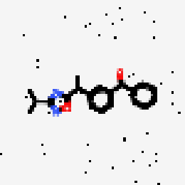 CC(C)c1noc(C(C)c2cccc(C(=O)c3ccccc3)c2)n1